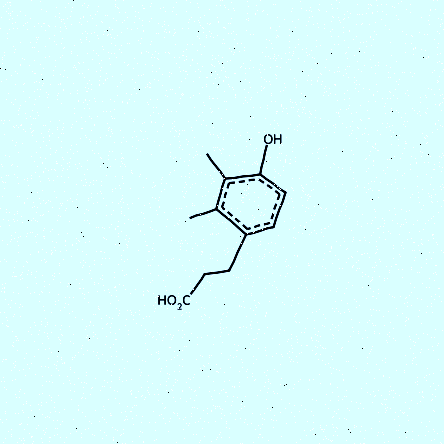 Cc1c(O)ccc(CCC(=O)O)c1C